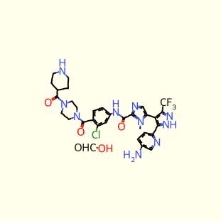 Cn1c(-c2c(C(F)(F)F)n[nH]c2-c2ccc(N)cn2)cnc1C(=O)Nc1ccc(C(=O)N2CCN(C(=O)C3CCNCC3)CC2)c(Cl)c1.O=CO